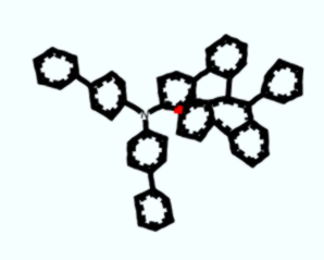 c1ccc(-c2ccc(N(c3ccc(-c4ccccc4)cc3)c3ccc(-c4ccccc4-c4c(-c5ccccc5)c5ccccc5c5ccccc45)cc3)cc2)cc1